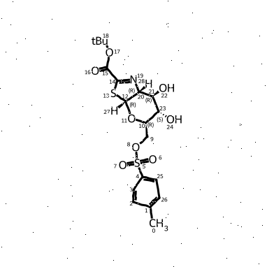 Cc1ccc(S(=O)(=O)OC[C@H]2O[C@@H]3SC(C(=O)OC(C)(C)C)=N[C@@H]3[C@@H](O)[C@@H]2O)cc1